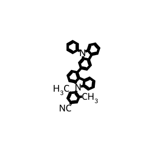 Cc1cc(C#N)cc(C)c1-n1c2ccccc2c2c(-c3ccc4c5ccccc5n(-c5ccccc5)c4c3)cccc21